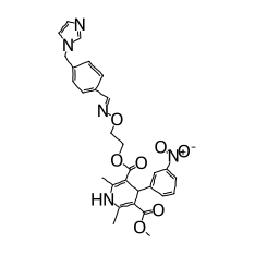 COC(=O)C1=C(C)NC(C)=C(C(=O)OCCON=Cc2ccc(Cn3ccnc3)cc2)C1c1cccc([N+](=O)[O-])c1